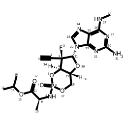 C#C[C@@]1(F)[C@@H]2OP(=O)(N[C@@H](C)C(=O)OC(C)C)OC[C@H]2O[C@H]1n1cnc2c(NC)nc(N)nc21